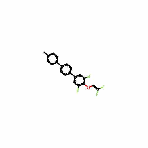 Cc1ccc(-c2ccc(-c3cc(F)c(OC=C(F)F)c(F)c3)cc2)cc1